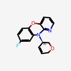 Fc1ccc2c(c1)N([C@@H]1C=CCOC1)c1ncccc1O2